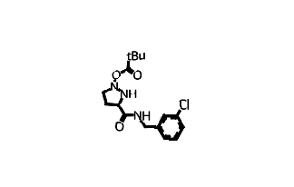 CC(C)(C)C(=O)ON1CCC(C(=O)NCc2cccc(Cl)c2)N1